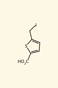 O=C(O)c1ccc(CI)s1